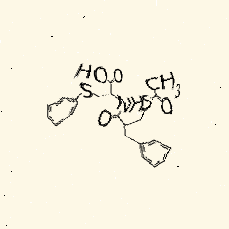 CC(=O)SCC(Cc1ccccc1)C(=O)N[C@H](CSc1ccccc1)C(=O)O